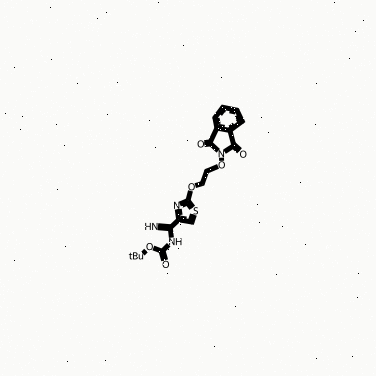 CC(C)(C)OC(=O)NC(=N)c1csc(OCCON2C(=O)c3ccccc3C2=O)n1